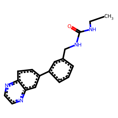 CCNC(=O)NCc1cccc(-c2ccc3nccnc3c2)c1